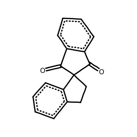 O=C1c2ccccc2C(=O)C12CCc1ccccc12